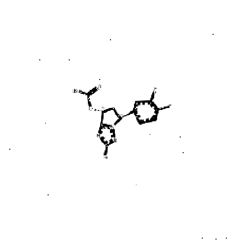 CC(C)(C)C(=O)O[C@@H]1C[C@@H](c2ccc(F)c(F)c2)n2nc(Br)nc21